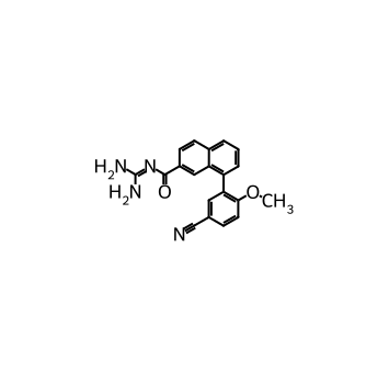 COc1ccc(C#N)cc1-c1cccc2ccc(C(=O)N=C(N)N)cc12